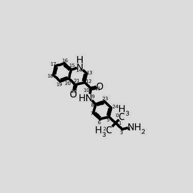 CC(C)(CN)c1ccc(NC(=O)c2c[nH]c3ccccc3c2=O)cc1